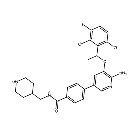 CC(Oc1cc(-c2ccc(C(=O)NCC3CCNCC3)cc2)cnc1N)c1c(Cl)ccc(F)c1Cl